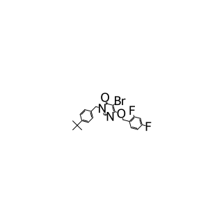 CC(C)(C)c1ccc(Cn2cnc(OCc3ccc(F)cc3F)c(Br)c2=O)cc1